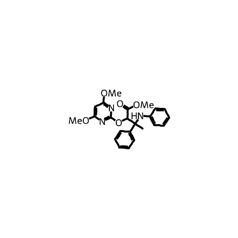 COC(=O)C(Oc1nc(OC)cc(OC)n1)C(C)(Nc1ccccc1)c1ccccc1